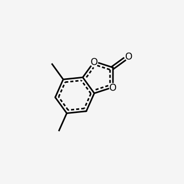 Cc1cc(C)c2oc(=O)oc2c1